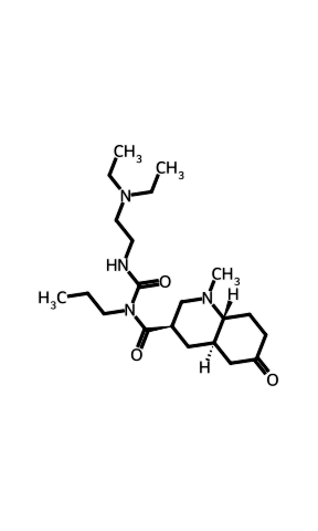 CCCN(C(=O)NCCN(CC)CC)C(=O)[C@@H]1C[C@@H]2CC(=O)CC[C@H]2N(C)C1